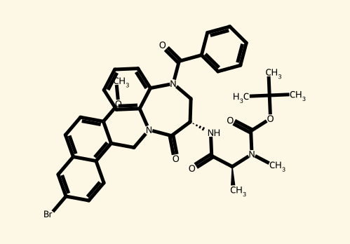 COc1ccc2cc(Br)ccc2c1CN1C(=O)[C@@H](NC(=O)[C@H](C)N(C)C(=O)OC(C)(C)C)CN(C(=O)c2ccccc2)c2ccccc21